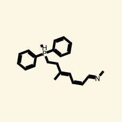 C/N=C/C=C\C=C(/C)CC[PH](C)(c1ccccc1)c1ccccc1